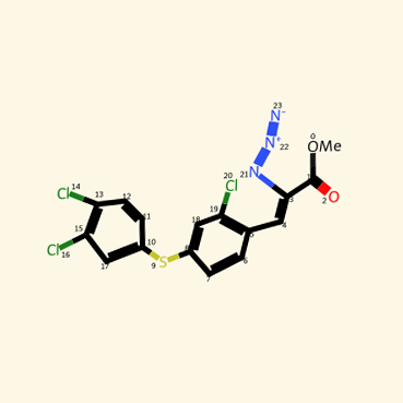 COC(=O)/C(=C/c1ccc(Sc2ccc(Cl)c(Cl)c2)cc1Cl)N=[N+]=[N-]